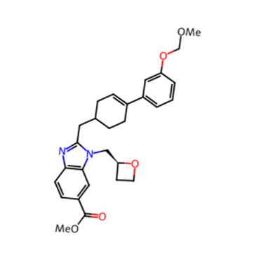 COCOc1cccc(C2=CCC(Cc3nc4ccc(C(=O)OC)cc4n3C[C@@H]3CCO3)CC2)c1